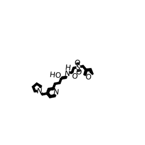 O=C(CS(=O)(=O)Cc1ccoc1)NC=C(O)CCc1cc(CN2CCCC2)ccn1